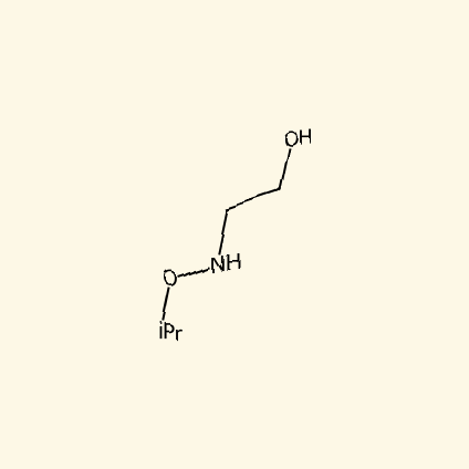 CC(C)ONCCO